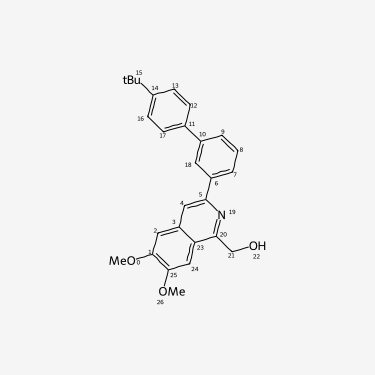 COc1cc2cc(-c3cccc(-c4ccc(C(C)(C)C)cc4)c3)nc(CO)c2cc1OC